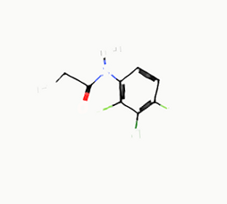 CCCCN(C(=O)CC(C)(C)C)c1ccc(F)c(Cl)c1F